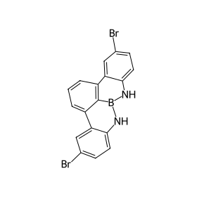 Brc1ccc2c(c1)-c1cccc3c1B(N2)Nc1ccc(Br)cc1-3